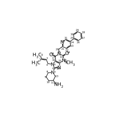 CC(C)=CCn1c(N2CCCC(N)C2)nc2c1c(=O)n(Cc1ccc(-c3ccccc3)cn1)c(=O)n2C